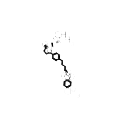 CCN(CC)CCN1C(=O)CCC1c1ccc(CCCCOS(=O)(=O)c2ccc(C)cc2)cc1